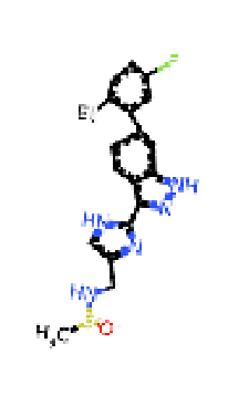 CCc1ccc(F)cc1-c1ccc2c(-c3nc(CN[S+](C)[O-])c[nH]3)n[nH]c2c1